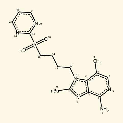 CCCCc1nc2c(N)ncc(C)c2n1CCCCS(=O)(=O)c1ncccn1